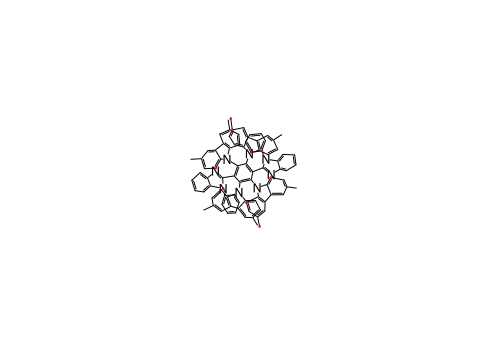 Cc1ccc2c(c1)c1cc(C)ccc1n2-c1c(-c2nc3ccccc3n2-c2ccccc2)c(-n2c3ccc(C)cc3c3cc(C)ccc32)c(-n2c3ccc(C)cc3c3cc(C)ccc32)c(-c2nc3ccccc3n2-c2ccccc2)c1-n1c2ccc(C)cc2c2cc(C)ccc21